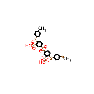 CSc1ccc(Sc2ccc(S(=O)(=O)c3ccc(Sc4ccc(C)cc4)c(S(=O)(=O)O)c3)cc2S(=O)(=O)O)cc1